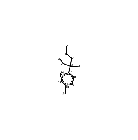 CCCC(C)(CC)c1ccc(C)cn1